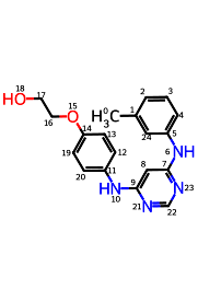 Cc1cccc(Nc2cc(Nc3ccc(OCCO)cc3)ncn2)c1